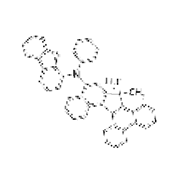 CC1(C)c2cc(N(c3ccccc3)c3cccc4c3sc3ccccc34)c3ccccc3c2-c2c1c1ccccc1c1ccccc21